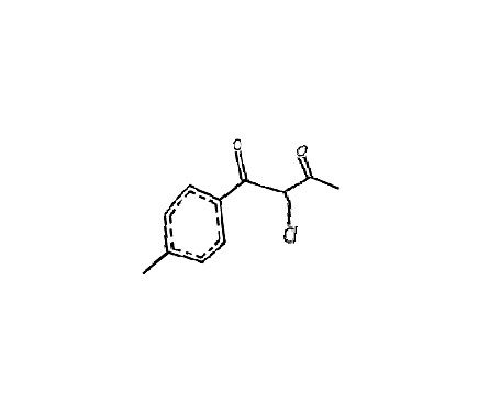 CC(=O)C(Cl)C(=O)c1ccc(C)cc1